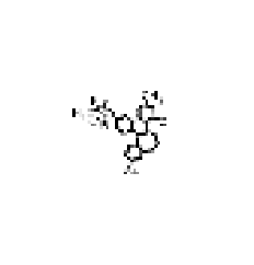 CC(=O)c1ccc2c(c1)CCCC(c1ccc(C)cc1Cl)=C2c1ccc(OS(=O)(=O)C(C)(F)F)cc1